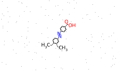 CCc1ccc(/N=N/c2ccc(C(=O)O)cc2)cc1CC